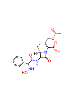 CC(=O)OCC1=C(C(=O)O)N2C(=O)[C@@H](NC(=O)C(NO)c3ccccc3)[C@@H]2SC1